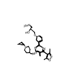 CNCC(O)COc1cccc(-c2nc(NC3CCN(C4CC4)CC3)c(C)c(-c3c(C)noc3C)n2)c1